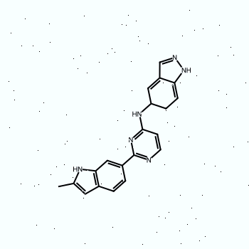 Cc1cc2ccc(-c3nccc(NC4C=c5cn[nH]c5=CC4)n3)cc2[nH]1